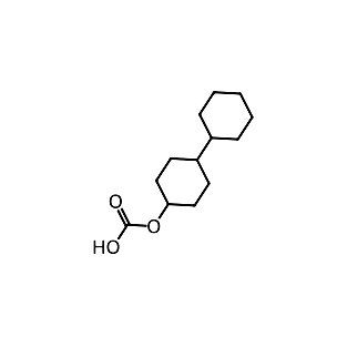 O=C(O)OC1CCC(C2CCCCC2)CC1